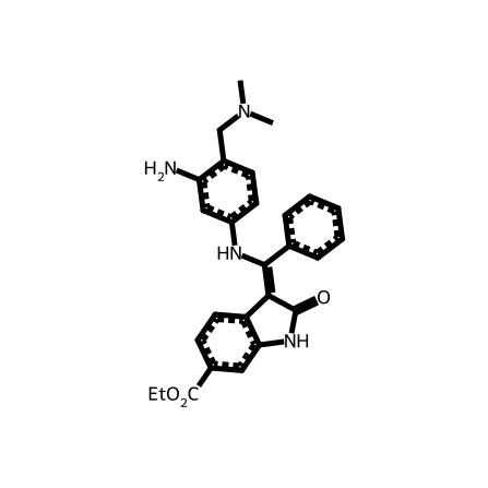 CCOC(=O)c1ccc2c(c1)NC(=O)C2=C(Nc1ccc(CN(C)C)c(N)c1)c1ccccc1